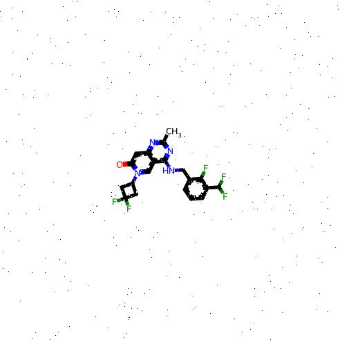 Cc1nc(NCc2cccc(C(F)F)c2F)c2cn(C3CC(F)(F)C3)c(=O)cc2n1